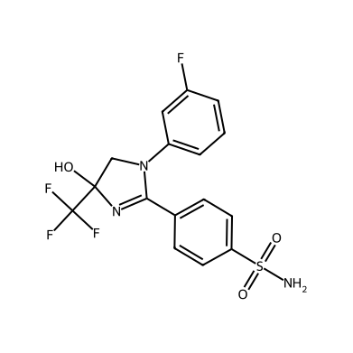 NS(=O)(=O)c1ccc(C2=NC(O)(C(F)(F)F)CN2c2cccc(F)c2)cc1